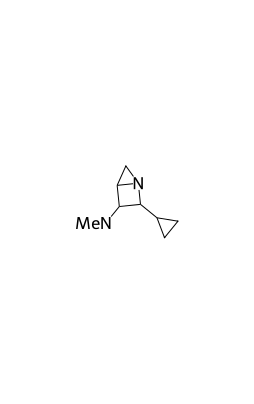 CNC1C2CN2C1C1CC1